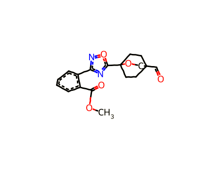 COC(=O)c1ccccc1-c1noc(C23CCC(C=O)(CC2)CO3)n1